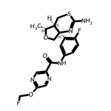 C[C@H]1OC[C@]2(c3cc(NC(=O)c4cnc(OCF)cn4)ccc3F)N=C(N)SC[C@H]12